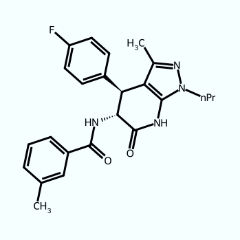 CCCn1nc(C)c2c1NC(=O)[C@H](NC(=O)c1cccc(C)c1)[C@H]2c1ccc(F)cc1